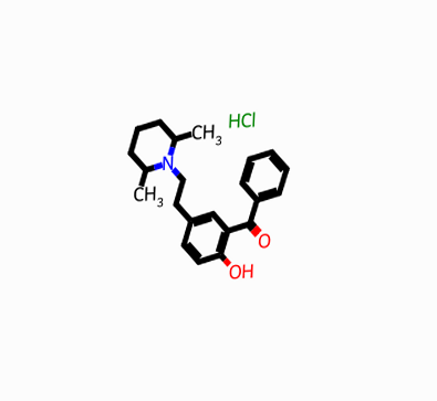 CC1CCCC(C)N1CCc1ccc(O)c(C(=O)c2ccccc2)c1.Cl